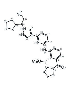 COC[C@H]1CCCN1C(=O)c1cccc(Nc2nccc(-c3cnn(C(CC#N)C4CCCC4)c3)n2)c1